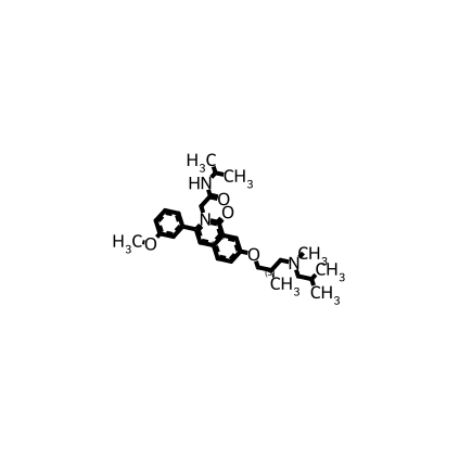 COc1cccc(-c2cc3ccc(OC[C@@H](C)CN(C)CC(C)C)cc3c(=O)n2CC(=O)NC(C)C)c1